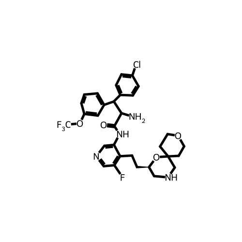 NC(C(=O)Nc1cncc(F)c1CC[C@@H]1CNCC2(CCOCC2)O1)C(c1ccc(Cl)cc1)c1cccc(OC(F)(F)F)c1